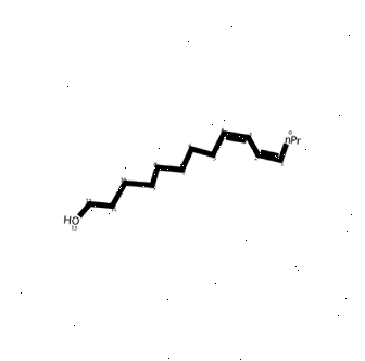 CCC/C=C\C=C/CCCCCCCCO